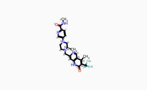 CNC(=O)c1ccc(N2CCN(Cc3cc4[nH]c(=O)c(C(F)(F)F)c(C)c4cn3)[C@H](C)C2)cn1